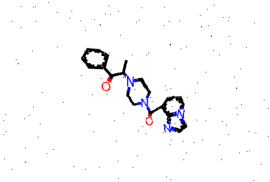 CC(C(=O)c1ccccc1)N1CCN(C(=O)c2cccn3ccnc23)CC1